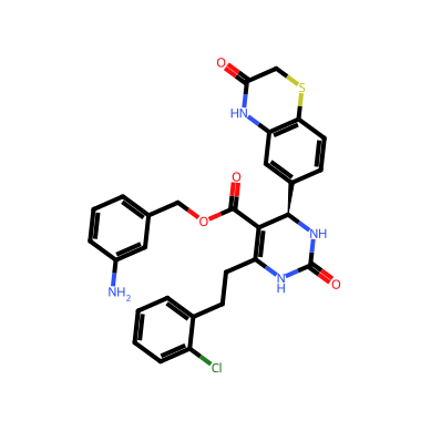 Nc1cccc(COC(=O)C2=C(CCc3ccccc3Cl)NC(=O)N[C@@H]2c2ccc3c(c2)NC(=O)CS3)c1